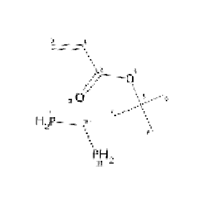 C=CC(=O)OC(C)(C)C.PCP